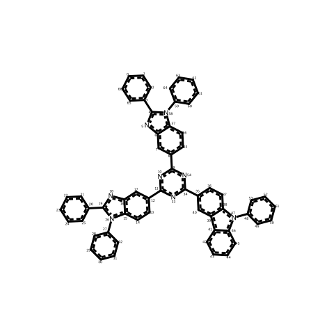 c1ccc(-c2nc3cc(-c4nc(-c5ccc6c(c5)nc(-c5ccccc5)n6-c5ccccc5)nc(-c5ccc6c(c5)c5ccccc5n6-c5ccccc5)n4)ccc3n2-c2ccccc2)cc1